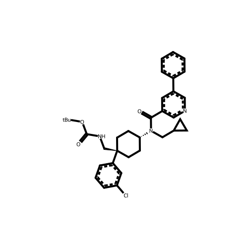 CC(C)(C)OC(=O)NC[C@]1(c2cccc(Cl)c2)CC[C@@H](N(CC2CC2)C(=O)c2cncc(-c3ccccc3)c2)CC1